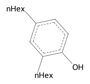 CCCCCCc1ccc(O)c(CCCCCC)c1